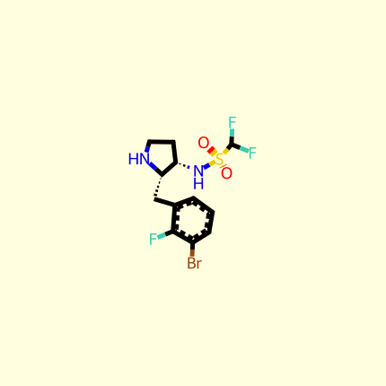 O=S(=O)(N[C@H]1CCN[C@H]1Cc1cccc(Br)c1F)C(F)F